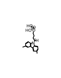 [2H]C(CCCOP(=O)(O)O)n1c2ccc(C)cc2c2cc(C)ccc21